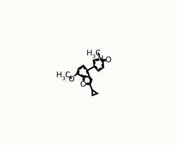 COc1ccc(-c2ccc(=O)n(C)c2)c2cc(C3CC3)oc12